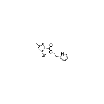 Cc1cc(Br)c(C(=O)OCCc2ccccn2)s1